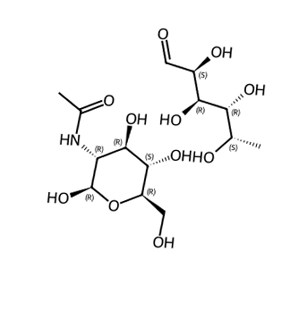 CC(=O)N[C@@H]1[C@@H](O)[C@H](O)[C@@H](CO)O[C@H]1O.C[C@H](O)[C@@H](O)[C@@H](O)[C@H](O)C=O